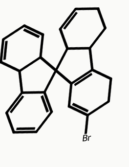 BrC1=CC2=C(CC1)C1CCC=CC1C21c2ccccc2C2C=CC=CC21